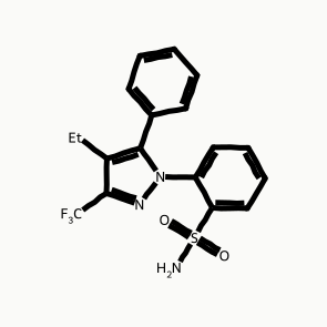 CCc1c(C(F)(F)F)nn(-c2ccccc2S(N)(=O)=O)c1-c1ccccc1